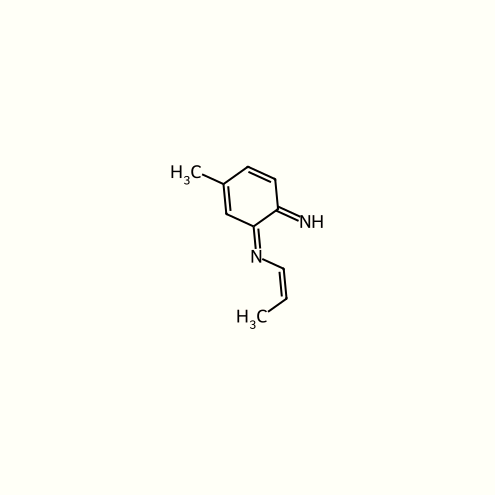 C/C=C\N=C1\C=C(C)C=CC1=N